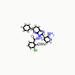 COc1c(Br)cccc1C(=O)Nn1c(-c2cccnc2N)nc2ccc(-c3ccccc3)nc21